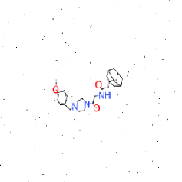 COc1ccc(CN2CCN(C(=O)CNC(=O)CC34CC5CC(CC(C5)C3)C4)CC2)cc1